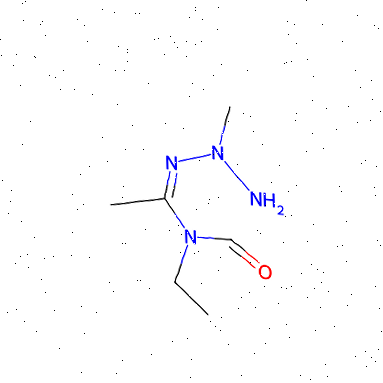 CCN(C=O)/C(C)=N\N(C)N